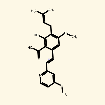 COc1ccnc(/C=C/c2cc(OC)c(CC=C(C)C)c(O)c2C(=O)O)c1